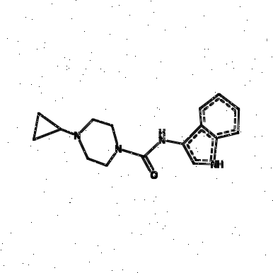 O=C(Nc1c[nH]c2ccccc12)N1CCN(C2CC2)CC1